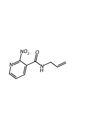 C=CCNC(=O)c1cccnc1[N+](=O)[O-]